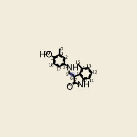 Cc1cc(N/C=C2/C(=O)Nc3cccc(C)c32)ccc1O